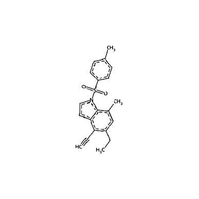 C#Cc1c(CC)cc(C)c2c1ccn2S(=O)(=O)c1ccc(C)cc1